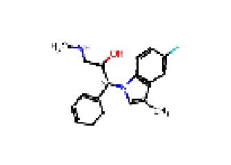 CNCC(O)[C@H](C1=CC=CCC1)n1cc(C)c2cc(F)ccc21